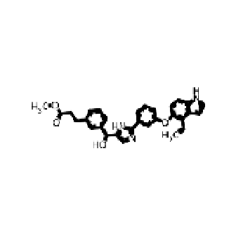 C=Cc1c(Oc2cccc(-c3ncc(C(O)c4cccc(CCC(=O)OC)c4)[nH]3)c2)ccc2[nH]ccc12